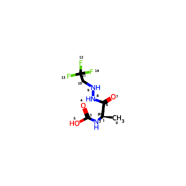 C[C@@H](NC(=O)O)C(=O)NNCC(F)(F)F